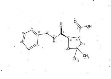 CC1(C)O[C@@H](C(=O)O)[C@H](C(=O)NCc2ccccc2)O1